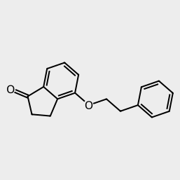 O=C1CCc2c(OCCc3ccccc3)cccc21